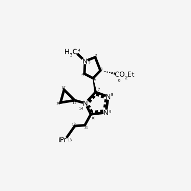 CCOC(=O)[C@H]1CN(C)C[C@@H]1c1nnc(CCC(C)C)n1C1CC1